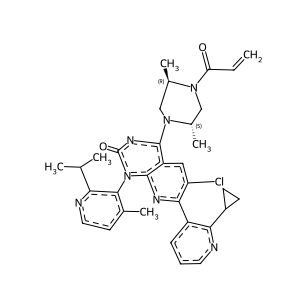 C=CC(=O)N1C[C@H](C)N(c2nc(=O)n(-c3c(C)ccnc3C(C)C)c3nc(-c4cccnc4C4CC4)c(Cl)cc23)C[C@H]1C